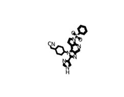 N#CCC1CCC(n2c(-c3c[nH]cn3)nc3cnc4c(ccn4S(=O)(=O)c4ccccc4)c32)CC1